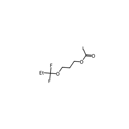 CCC(F)(F)OCCCOC(=O)I